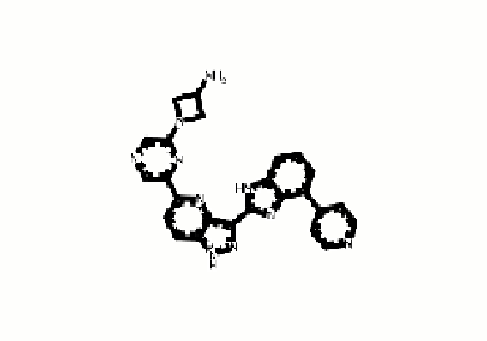 NC1CN(c2cncc(-c3ccc4[nH]nc(-c5nc6c(-c7ccncc7)cccc6[nH]5)c4n3)n2)C1